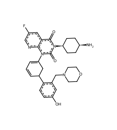 N[C@H]1CC[C@@H](n2c(=O)c3cc(F)cnc3n(C3=CC=CC(c4ccc(O)cc4CN4CCOCC4)C3)c2=O)CC1